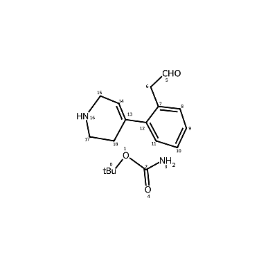 CC(C)(C)OC(N)=O.O=CCc1ccccc1C1=CCNCC1